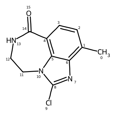 Cc1ccc2c3c1nc(Cl)n3CCNC2=O